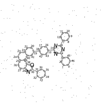 c1ccc(-c2nc(-c3ccccc3)nc(-c3ccc(-c4ccc5ccc6ccc7nc(-c8ccccc8)oc7c6c5c4)cc3)n2)cc1